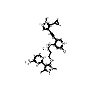 Cc1nn(C)c(OCC[C@H](C)Nc2cc(Cl)ncc2C#Cc2cnn(C)c2C2CC2)c1-c1nccc(N)n1